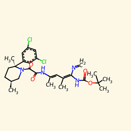 C=N/C(NC(=O)OC(C)(C)C)=C(C)\C=C(/C)NC(=O)C(=O)N1C[C@@H](C)CC[C@@]1(C)c1cc(Cl)cc(Cl)c1